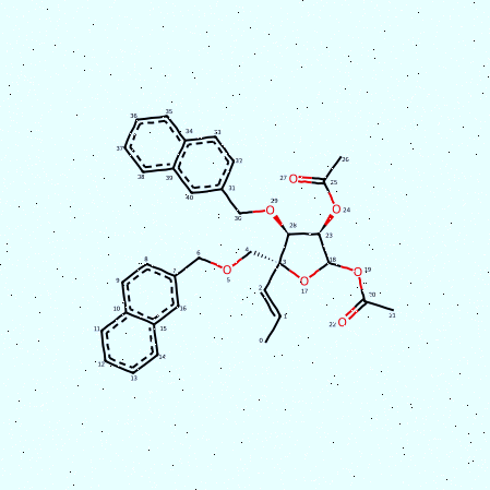 C/C=C/[C@]1(COCc2ccc3ccccc3c2)OC(OC(C)=O)[C@H](OC(C)=O)[C@@H]1OCc1ccc2ccccc2c1